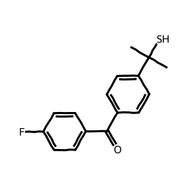 CC(C)(S)c1ccc(C(=O)c2ccc(F)cc2)cc1